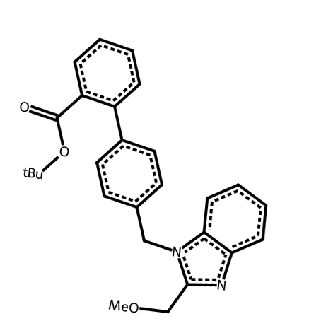 COCc1nc2ccccc2n1Cc1ccc(-c2ccccc2C(=O)OC(C)(C)C)cc1